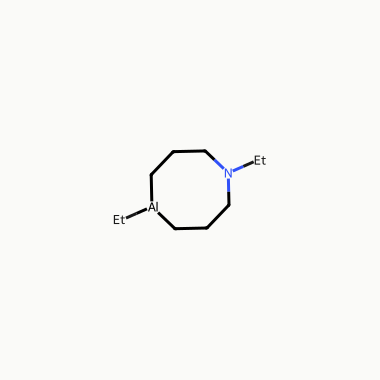 CCN1CC[CH2][Al]([CH2]C)[CH2]CC1